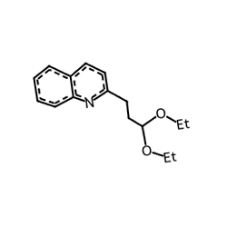 CCOC(CCc1ccc2ccccc2n1)OCC